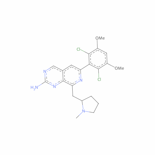 COc1cc(OC)c(Cl)c(-c2cc3cnc(N)nc3c(CC3CCCN3C)n2)c1Cl